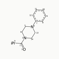 CC(C)C(=O)N1CCN(c2cc[c]cc2)CC1